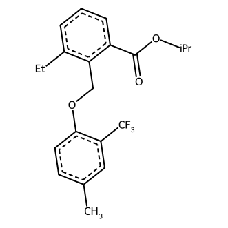 CCc1cccc(C(=O)OC(C)C)c1COc1ccc(C)cc1C(F)(F)F